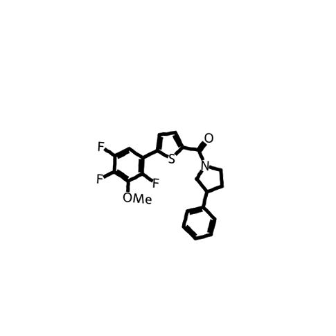 COc1c(F)c(F)cc(-c2ccc(C(=O)N3CCC(c4ccccc4)C3)s2)c1F